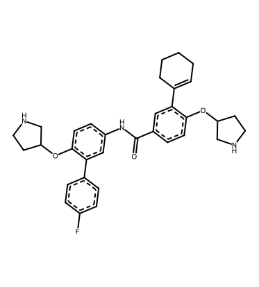 O=C(Nc1ccc(OC2CCNC2)c(-c2ccc(F)cc2)c1)c1ccc(OC2CCNC2)c(C2=CCCCC2)c1